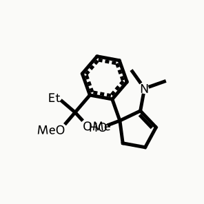 CCC(OC)(OC)c1ccccc1C1(O)CCC=C1N(C)C